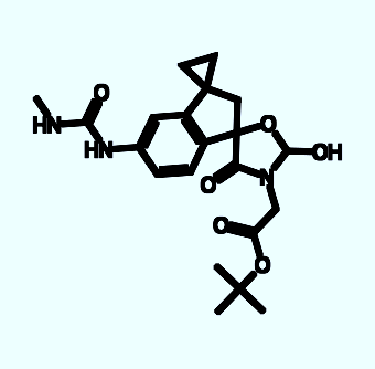 CNC(=O)Nc1ccc2c(c1)C1(CC1)CC21OC(O)N(CC(=O)OC(C)(C)C)C1=O